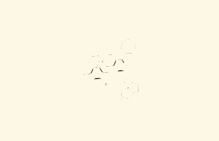 Nc1cc(Cl)c2c(c1F)[C@@]1(CCC2)Cc2nc(OC[C@@]34CCCN3C[C@H](F)C4)nc(N3CCCOCC3)c2CO1